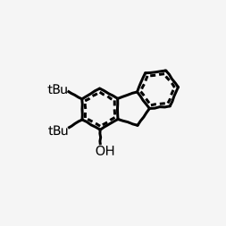 CC(C)(C)c1cc2c(c(O)c1C(C)(C)C)Cc1ccccc1-2